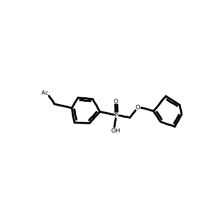 CC(=O)Cc1ccc(P(=O)(O)COc2ccccc2)cc1